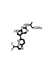 COCC(C)Nc1ncc2c(-c3ccc4ncc(C(F)F)n4n3)c[nH]c2n1